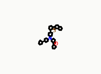 c1ccc(-c2ccc(N(c3ccc(-c4cccc5c4sc4c6ccccc6ccc54)cc3)c3ccc4oc5ccccc5c4c3)cc2)cc1